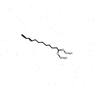 C=C/C=C/CCCCCCCC(OCCCCCCC)OCCCCCCC